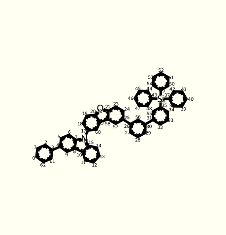 c1ccc(-c2ccc3c(c2)c2ccccc2n3-c2ccc3oc4ccc(-c5cccc(-c6cccc([Si](c7ccccc7)(c7ccccc7)c7ccccc7)c6)c5)cc4c3c2)cc1